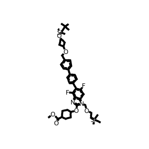 COC(=O)C1CCC(Oc2nc3c(F)c(-c4ccc(-c5ccc(COC6CC(O[Si](C)(C)C(C)(C)C)C6)cc5)cc4)c(F)cc3n2COCC[Si](C)(C)C)CC1